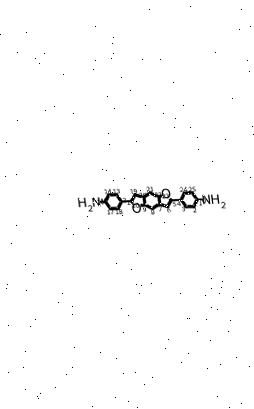 Nc1ccc(-c2cc3cc4oc(-c5ccc(N)cc5)cc4cc3o2)cc1